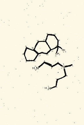 CN(CCCN)CCCN.NC1(N)CCCC2CC3CCCCC3CC21